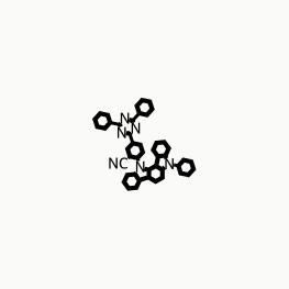 N#Cc1cc(-c2nc(-c3ccccc3)nc(-c3ccccc3)n2)ccc1-n1c2ccccc2c2ccc3c(c4ccccc4n3-c3ccccc3)c21